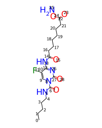 CCCCCNC(=O)n1cc(F)c(NC(=O)CCCCCCC(=O)ON)nc1=O